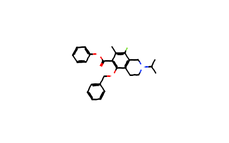 Cc1c(F)c2c(c(OCc3ccccc3)c1C(=O)Oc1ccccc1)CCN(C(C)C)C2